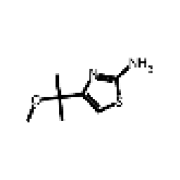 COC(C)(C)c1csc(N)n1